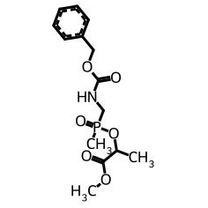 COC(=O)C(C)OP(C)(=O)CNC(=O)OCc1ccccc1